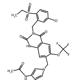 CCS(=O)(=O)c1ccc(Cl)cc1Cn1c(=O)[nH]c2cc(Cn3ccc(NC(C)=O)c3)c(OC(F)(F)F)cc2c1=O